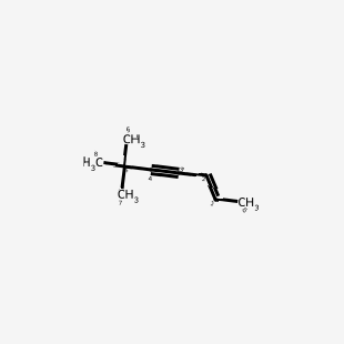 CC=CC#CC(C)(C)C